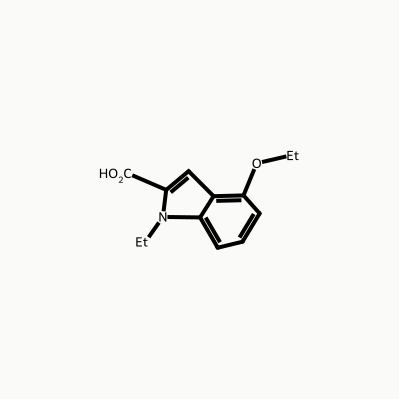 CCOc1cccc2c1cc(C(=O)O)n2CC